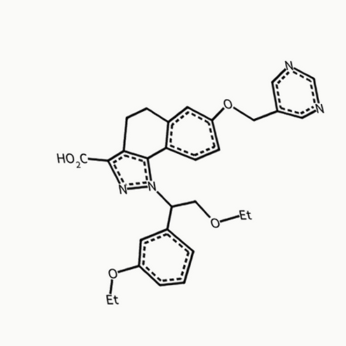 CCOCC(c1cccc(OCC)c1)n1nc(C(=O)O)c2c1-c1ccc(OCc3cncnc3)cc1CC2